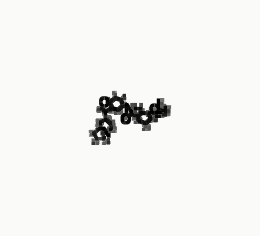 O=C(Nc1ccc2occ(C3=CCN4CCCC4C3)c2c1)c1cccc(OC(F)(F)F)c1